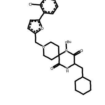 CCCCN1C(=O)C(CC2CCCCC2)NC(=O)C12CCN(Cc1ccc(-c3ccccc3Cl)o1)CC2